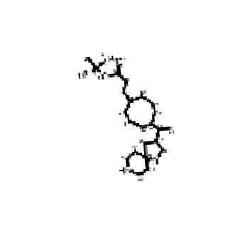 CCCC(C)(CCC)OC(=O)CCC1CCCC(C(C)C2COC3(CCNCC3)C2)CCC1